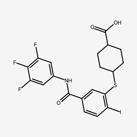 O=C(Nc1cc(F)c(F)c(F)c1)c1ccc(I)c(SC2CCC(C(=O)O)CC2)c1